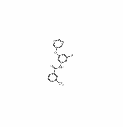 O=C(Nc1cc(F)cc(Oc2cncnc2)c1)c1cccc(C(F)(F)F)c1